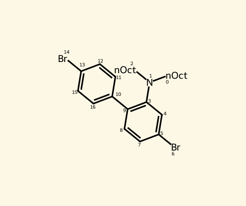 CCCCCCCCN(CCCCCCCC)c1cc(Br)ccc1-c1ccc(Br)cc1